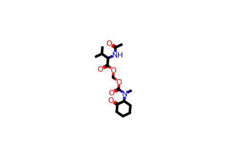 CC(=O)NC(C(=O)OCOC(=O)N(C)C1CCCCC1=O)C(C)C